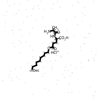 CCCCCCCCCCCCCCCCCCOC(=O)CC[C@@H](NC(=O)[C@H](C)N)C(=O)O.Cl